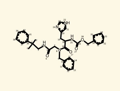 CC(C)(CNC(=O)CN(Cc1ccccc1)C(=O)C(Cc1c[nH]cn1)NC(=O)OCc1ccccc1)c1ccccc1